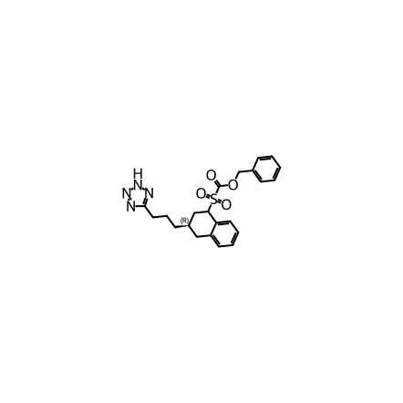 O=C(OCc1ccccc1)S(=O)(=O)C1C[C@H](CCCc2nn[nH]n2)Cc2ccccc21